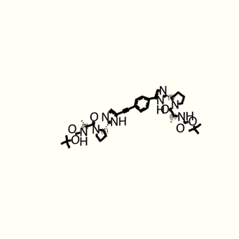 C[C@@H](NC(=O)OC(C)(C)C)C(=O)N1CCC[C@H]1c1ncc(C#Cc2ccc(-c3cnc([C@@H]4CCCN4C(=O)[C@@H](C)NC(=O)OC(C)(C)C)[nH]3)cc2)[nH]1